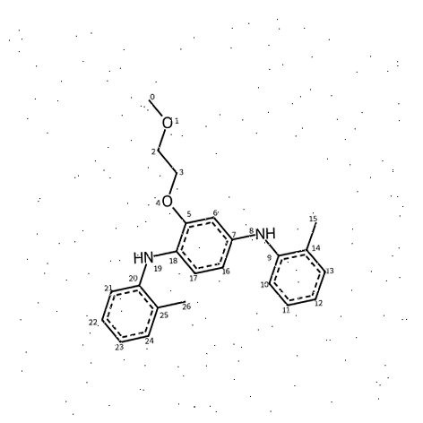 COCCOc1cc(Nc2ccccc2C)ccc1Nc1ccccc1C